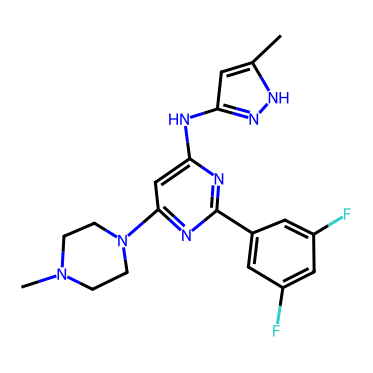 Cc1cc(Nc2cc(N3CCN(C)CC3)nc(-c3cc(F)cc(F)c3)n2)n[nH]1